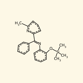 Cc1cccc(C(=Nc2ccccc2O[Si](C)(C)C)c2ccccc2)n1